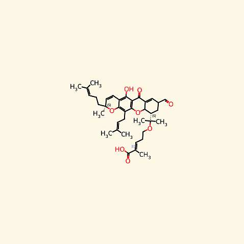 CC(C)=CCC[C@@]1(C)C=Cc2c(O)c3c(c(CC=C(C)C)c2O1)OC1C(=CC(C=O)C[C@@H]1C(C)(C)OCC/C=C(\C)C(=O)O)C3=O